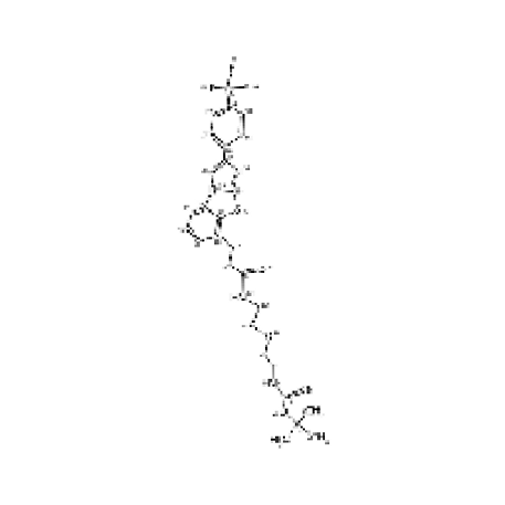 CC(C)(C)OC(=O)NCCOCCNC(=O)CCc1cccc2c1sc1nc(-c3ccc(C(F)(F)F)cc3)cn12